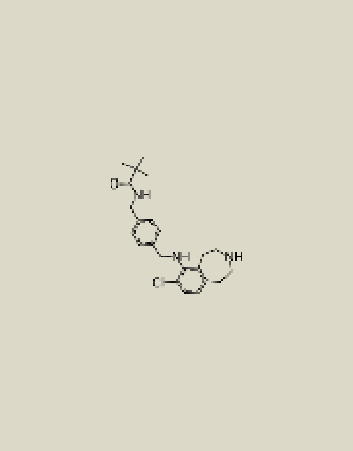 CC(C)(C)C(=O)NCc1ccc(CNc2c(Cl)ccc3c2CCNCC3)cc1